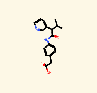 CC(C)C(C(=O)Nc1ccc(CC(=O)O)cc1)c1cccnc1